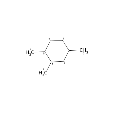 CC1[CH]C(C)C(C)CC1